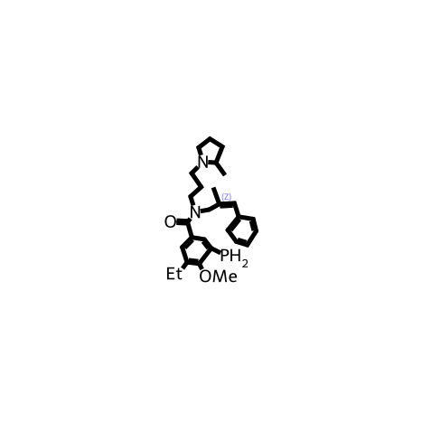 CCc1cc(C(=O)N(CCCN2CCCC2C)C/C(C)=C\c2ccccc2)cc(P)c1OC